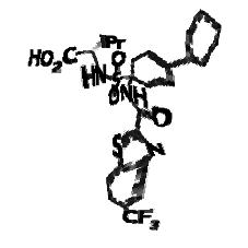 CC(C)[C@H](NS(=O)(=O)C1(NC(=O)c2nc3cc(C(F)(F)F)ccc3s2)C=CC(c2ccccc2)=CC1)C(=O)O